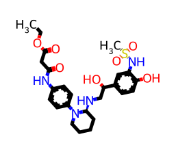 CCOC(=O)CC(=O)Nc1ccc(N2CCCC[C@@H]2NCC(O)c2ccc(O)c(NS(C)(=O)=O)c2)cc1